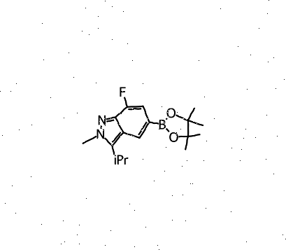 CC(C)c1c2cc(B3OC(C)(C)C(C)(C)O3)cc(F)c2nn1C